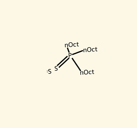 CCCCCCCCP(=S)(CCCCCCCC)CCCCCCCC.[S]